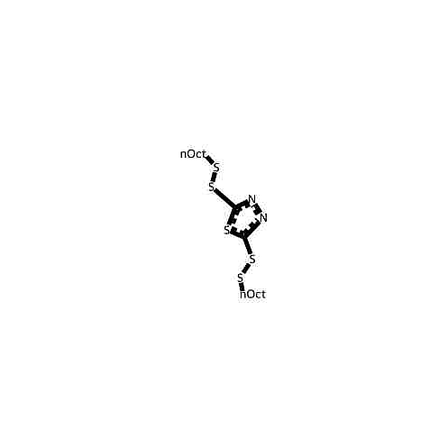 CCCCCCCCSSc1nnc(SSCCCCCCCC)s1